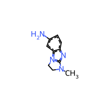 CN1CCn2c1nc1ccc(N)cc12